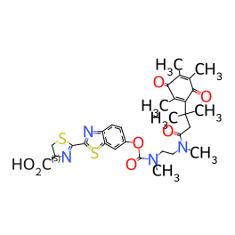 CC1=C(C)C(=O)C(C(C)(C)CC(=O)N(C)CCN(C)C(=O)Oc2ccc3nc(C4=N[C@@H](C(=O)O)CS4)sc3c2)=C(C)C1=O